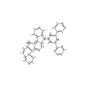 c1ccc(-c2nc(-c3ccccc3)nc(-n3c4ccccc4c4c5[nH]c6ccc7ccccc7c6c5ccc43)n2)cc1